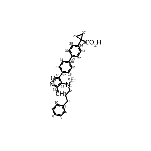 CCN(CCCc1ccccc1)c1c(C)noc1-c1ccc(-c2ccc(C3(C(=O)O)CC3)cc2)cc1